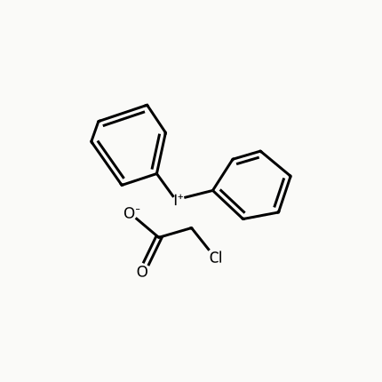 O=C([O-])CCl.c1ccc([I+]c2ccccc2)cc1